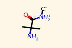 [CH2-][NH2+]C(=O)C(C)(C)N